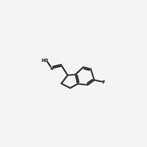 ON=CC1CCc2cc(F)ccc21